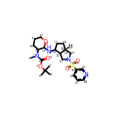 CN(C(=O)OC(C)(C)C)C1CCCOC1NC1CC[C@@H]2CN(S(=O)(=O)c3cccnc3)CC12